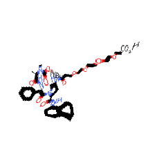 C[C@@H](C(=O)N[C@H](C(=O)N1C[C@@H](NC(=O)CCOCCOCCOCCOCCC(=O)O)C[C@H]1C(=O)N[C@@H]1CCCc2ccccc21)C1CCCCC1)N(C)C(=O)OC(C)(C)C